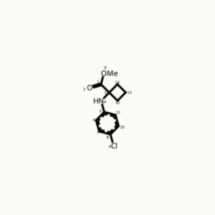 COC(=O)C1(Nc2ccc(Cl)cc2)CCC1